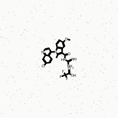 COc1ccc2c(c1)c(C(=O)NC(=N)N)c(C)n2-c1ccnc2cc(Cl)ccc12.O=C(O)C(F)(F)F